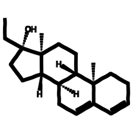 CC[C@]1(O)CC[C@H]2[C@@H]3CC=C4C=CCC[C@]4(C)[C@H]3CC[C@@]21C